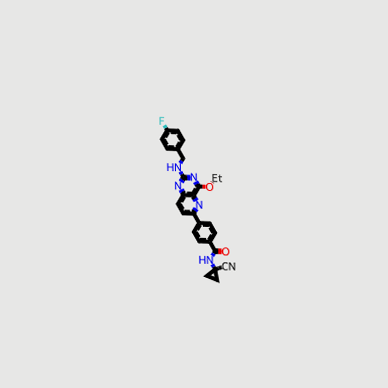 CCOc1nc(NCc2ccc(F)cc2)nc2ccc(-c3ccc(C(=O)NC4(C#N)CC4)cc3)nc12